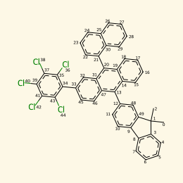 CC1(C)c2ccccc2-c2ccc(-c3c4ccccc4c(-c4cccc5ccccc45)c4cc(-c5c(Cl)c(Cl)c(Cl)c(Cl)c5Cl)ccc34)cc21